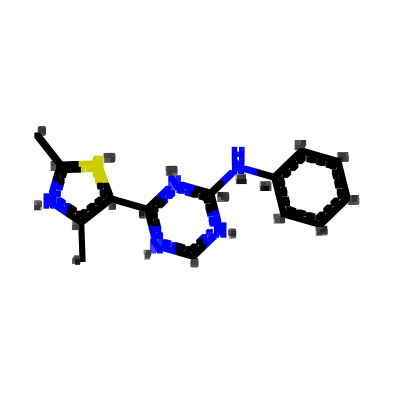 Cc1nc(C)c(-c2ncnc(Nc3ccccc3)n2)s1